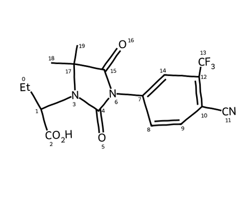 CCC(C(=O)O)N1C(=O)N(c2ccc(C#N)c(C(F)(F)F)c2)C(=O)C1(C)C